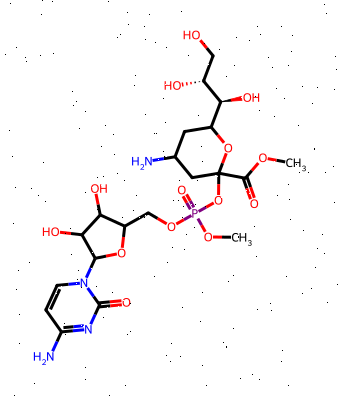 COC(=O)C1(OP(=O)(OC)OCC2OC(n3ccc(N)nc3=O)C(O)C2O)CC(N)CC([C@H](O)[C@H](O)CO)O1